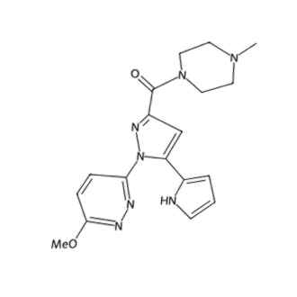 COc1ccc(-n2nc(C(=O)N3CCN(C)CC3)cc2-c2ccc[nH]2)nn1